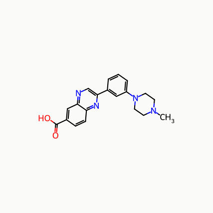 CN1CCN(c2cccc(-c3cnc4cc(C(=O)O)ccc4n3)c2)CC1